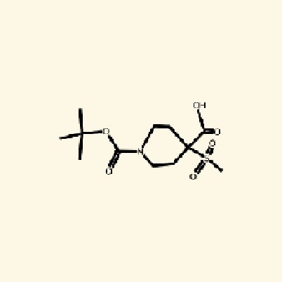 CC(C)(C)OC(=O)N1CCC(C(=O)O)(S(C)(=O)=O)CC1